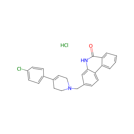 Cl.O=c1[nH]c2cc(CN3CC=C(c4ccc(Cl)cc4)CC3)ccc2c2ccccc12